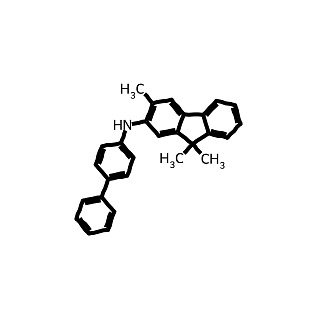 Cc1cc2c(cc1Nc1ccc(-c3ccccc3)cc1)C(C)(C)c1ccccc1-2